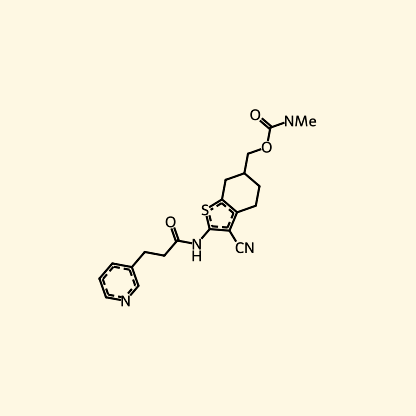 CNC(=O)OCC1CCc2c(sc(NC(=O)CCc3cccnc3)c2C#N)C1